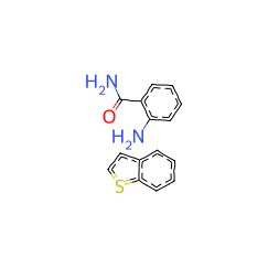 NC(=O)c1ccccc1N.c1ccc2sccc2c1